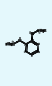 CCCCCCCOc1ccccc1OCCCCCCC